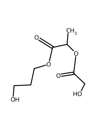 CC(OC(=O)CO)C(=O)OCCCO